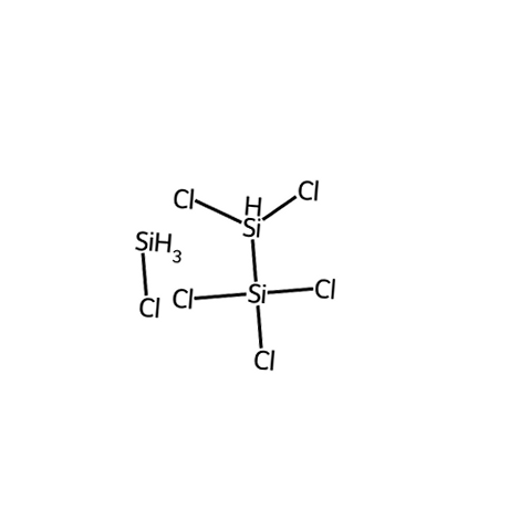 Cl[SiH](Cl)[Si](Cl)(Cl)Cl.[SiH3]Cl